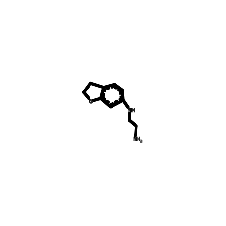 NCCNc1ccc2c(c1)OCC2